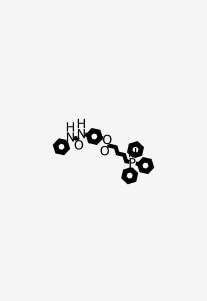 O=C(Nc1ccccc1)Nc1ccc(OC(=O)CCCC[PH](c2ccccc2)(c2ccccc2)c2ccccc2)cc1